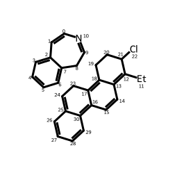 C1=Cc2ccccc2CC=N1.CCC1=c2ccc3c(c2CCC1Cl)CC=c1ccccc1=3